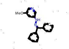 COc1cncc(NN=C(c2ccccc2)c2ccccc2)c1